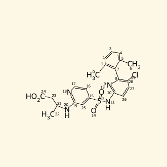 Cc1cccc(C)c1-c1nc(NS(=O)(=O)c2ccnc(NC(C)CC(=O)O)c2)ccc1Cl